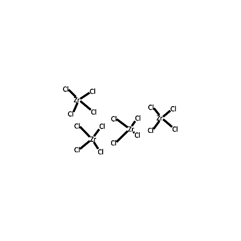 [Cl][Zr]([Cl])([Cl])[Cl].[Cl][Zr]([Cl])([Cl])[Cl].[Cl][Zr]([Cl])([Cl])[Cl].[Cl][Zr]([Cl])([Cl])[Cl]